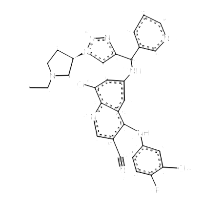 CCN1CC[C@@H](n2cc(C(Nc3cc(Cl)c4ncc(C#N)c(Nc5ccc(F)c(Cl)c5)c4c3)c3cccnc3)nn2)C1